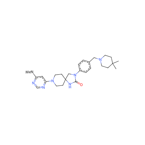 CNc1cc(N2CCC3(CC2)CN(c2ccc(CN4CCC(C)(C)CC4)cc2)C(=O)N3)ncn1